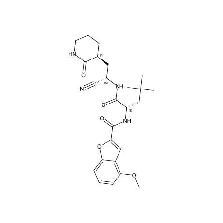 COc1cccc2oc(C(=O)N[C@@H](CC(C)(C)C)C(=O)N[C@H](C#N)C[C@@H]3CCCNC3=O)cc12